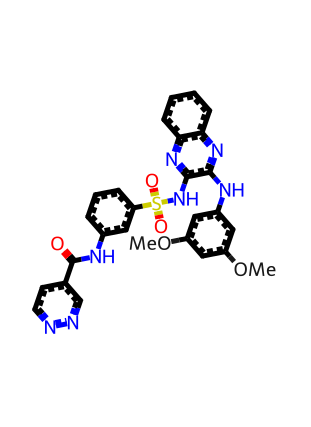 COc1cc(Nc2nc3ccccc3nc2NS(=O)(=O)c2cccc(NC(=O)c3ccnnc3)c2)cc(OC)c1